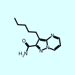 CCCCCc1c(C(N)=O)nn2cccnc12